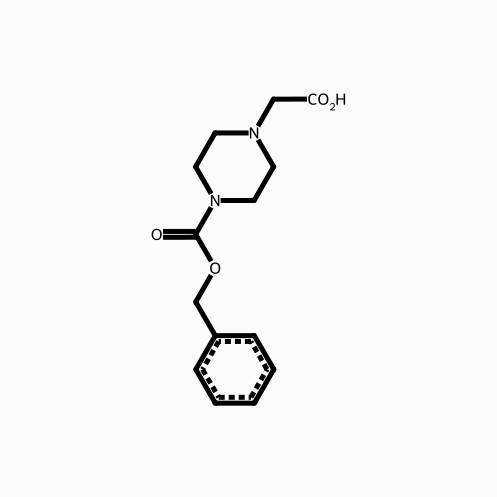 O=C(O)CN1CCN(C(=O)OCc2ccccc2)CC1